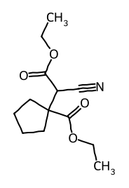 CCOC(=O)C(C#N)C1(C(=O)OCC)CCCC1